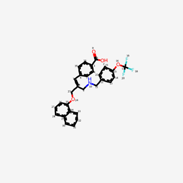 O=C(O)c1ccc(C=C(CNCc2ccc(OC(F)(F)F)cc2)COc2cccc3ccccc23)cc1